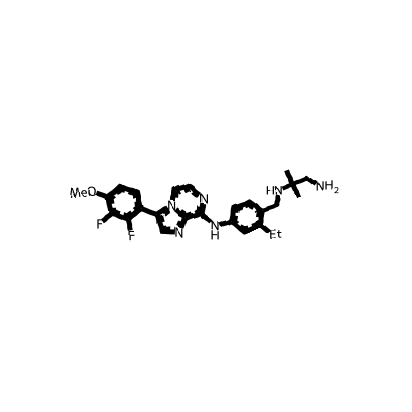 CCc1cc(Nc2nccn3c(-c4ccc(OC)c(F)c4F)cnc23)ccc1CNC(C)(C)CN